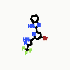 FC(F)(F)c1cc(-c2cc(Br)cc(-c3nc4ccccc4[nH]3)n2)[nH]n1